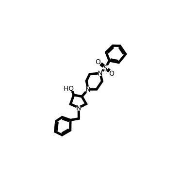 O=S(=O)(c1ccccc1)N1CCN(C2CN(Cc3ccccc3)CC2O)CC1